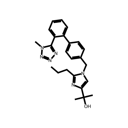 CCCc1nc(C(C)(C)O)cn1Cc1ccc(-c2ccccc2-c2nnnn2C)cc1